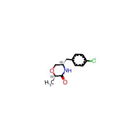 C[C@@H]1OC[C@H](Cc2ccc(Cl)cc2)NC1=O